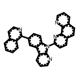 c1ccc2c(-c3ccc4c(c3)c3cccnc3n4-c3ccc4ccc5cccnc5c4n3)nccc2c1